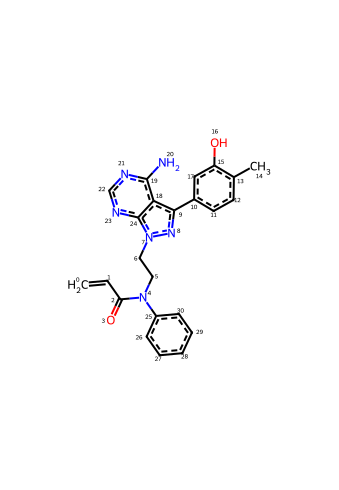 C=CC(=O)N(CCn1nc(-c2ccc(C)c(O)c2)c2c(N)ncnc21)c1ccccc1